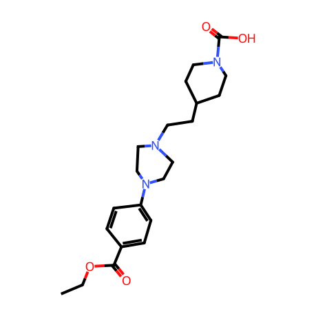 CCOC(=O)c1ccc(N2CCN(CCC3CCN(C(=O)O)CC3)CC2)cc1